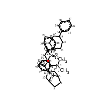 CN(C)c1c(N2C3CCC2CN(C(=O)OCc2ccccc2)C3)cccc1S(=O)(=O)N1CCC(c2ccccc2)CC1